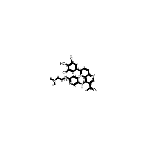 CC(=O)c1cnc2ccc(-c3cc(Cl)c(O)c(Cl)c3)nc2c1Nc1ccc(NCCN(C)C)nc1